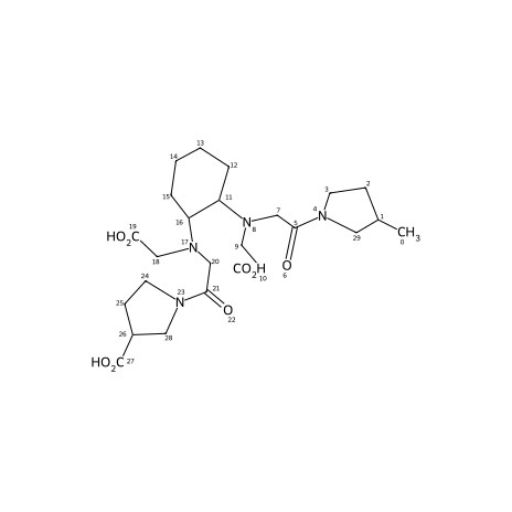 CC1CCN(C(=O)CN(CC(=O)O)C2CCCCC2N(CC(=O)O)CC(=O)N2CCC(C(=O)O)C2)C1